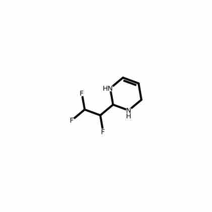 FC(F)C(F)C1NC=CCN1